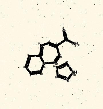 NC(=O)C1=CN=C2C=CC=CN2C=C1.c1c[nH]cn1